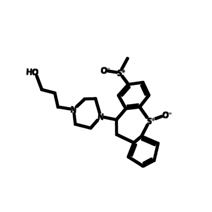 C[S+]([O-])c1ccc2c(c1)C(N1CCN(CCCO)CC1)Cc1ccccc1[S+]2[O-]